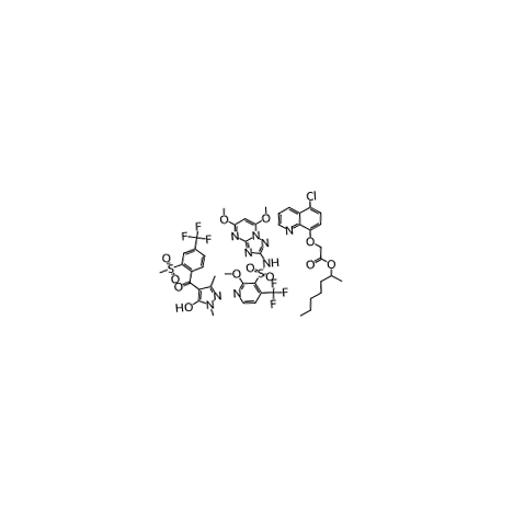 CCCCCC(C)OC(=O)COc1ccc(Cl)c2cccnc12.COc1cc(OC)n2nc(NS(=O)(=O)c3c(C(F)(F)F)ccnc3OC)nc2n1.Cc1nn(C)c(O)c1C(=O)c1ccc(C(F)(F)F)cc1S(C)(=O)=O